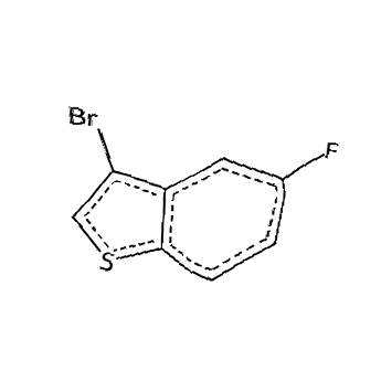 Fc1ccc2scc(Br)c2c1